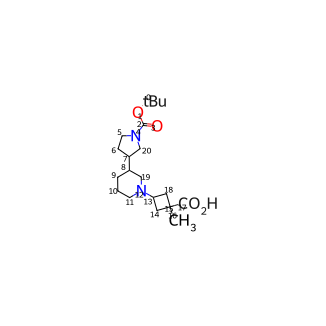 CC(C)(C)OC(=O)N1CCC(C2CCCN(C3CC(C)(C(=O)O)C3)C2)C1